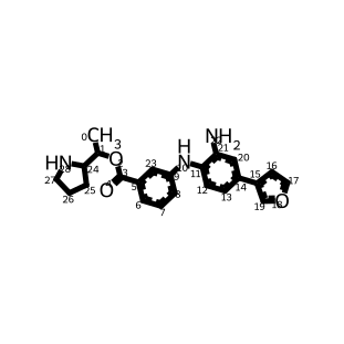 CC(OC(=O)c1cccc(Nc2ccc(-c3ccoc3)cc2N)c1)C1CCCN1